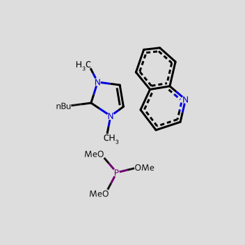 CCCCC1N(C)C=CN1C.COP(OC)OC.c1ccc2ncccc2c1